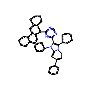 C1=C(c2ccccc2)C=C2N(C1)C(c1ccccc1)=C(c1ncnc(-c3c4ccccc4cc4c3ccc3ccccc34)n1)N2c1ccccc1